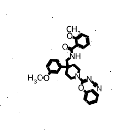 COc1cccc(C2(CNC(=O)c3ccccc3OC)CCN(/C(=N/C#N)Oc3ccccc3)CC2)c1